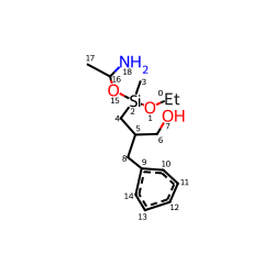 CCO[Si](C)(CC(CO)Cc1ccccc1)OC(C)N